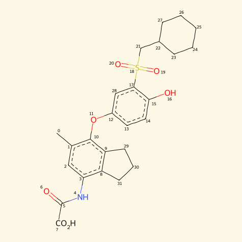 Cc1cc(NC(=O)C(=O)O)c2c(c1Oc1ccc(O)c(S(=O)(=O)CC3CCCCC3)c1)CCC2